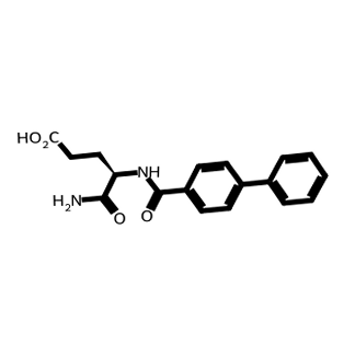 NC(=O)[C@@H](CCC(=O)O)NC(=O)c1ccc(-c2ccccc2)cc1